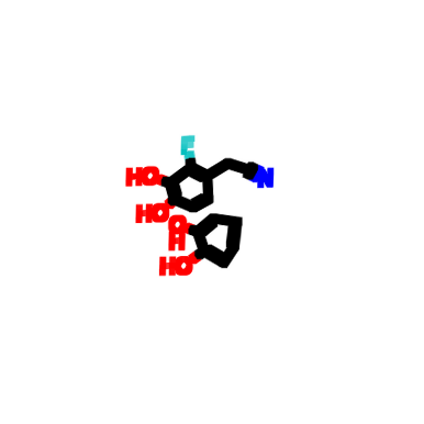 N#CCc1ccc(O)c(O)c1F.Oc1ccccc1O